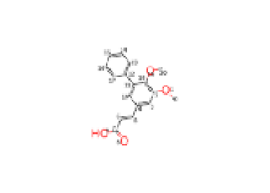 COc1cc(C=CC(=O)O)cc(-c2ccccc2)c1OC